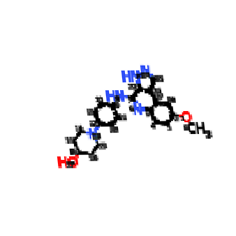 COc1ccc2nc(Nc3ccc(N4CCC(O)CC4)cc3)c3[nH]ncc3c2c1